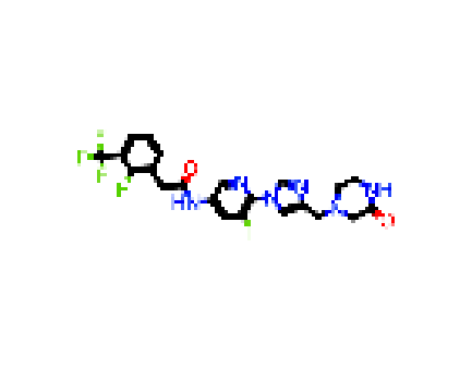 O=C1CN(Cc2cn(-c3ncc(NC(=O)Cc4cccc(C(F)(F)F)c4F)cc3F)cn2)CCN1